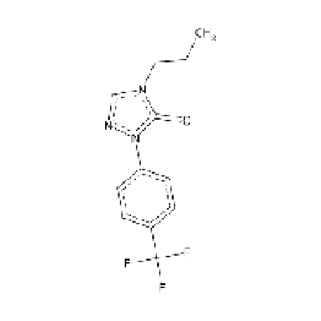 CCCn1cnn(-c2ccc(C(F)(F)F)cc2)c1=O